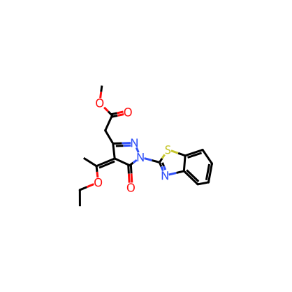 CCOC(C)=C1C(=O)N(c2nc3ccccc3s2)N=C1CC(=O)OC